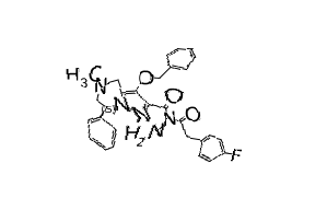 CN1Cc2c(OCc3ccccc3)c(C(=O)N(N)C(=O)Cc3ccc(F)cc3)nn2[C@@H](c2ccccc2)C1